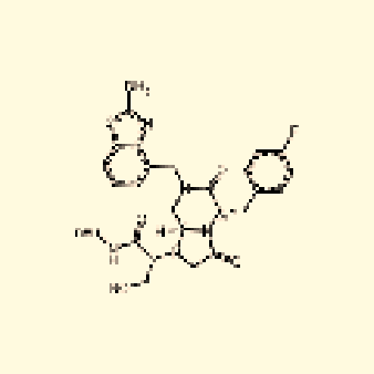 CCCCNC(=O)N(CC#N)N1CC(=O)N2[C@@H](Cc3ccc(F)cc3)C(=O)N(Cc3cccc4sc(N)nc34)C[C@@H]21